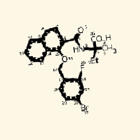 CCC(C)(NC(=O)c1ccc2ccccc2c1OCc1ccc(Br)cc1F)C(=O)O